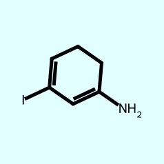 NC1=CC(I)=CCC1